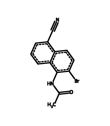 CC(=O)Nc1c(Br)ccc2c(C#N)cccc12